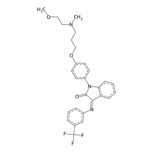 COCCN(C)CCCOc1ccc(N2C(=O)C(=Nc3cccc(C(F)(F)F)c3)c3ccccc32)cc1